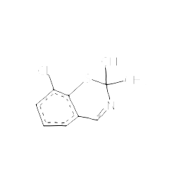 CC1(C)N=Cc2cccc(Cl)c2S1